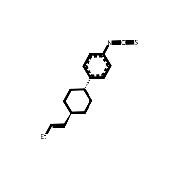 CC/C=C/[C@H]1CC[C@H](c2ccc(N=C=S)cc2)CC1